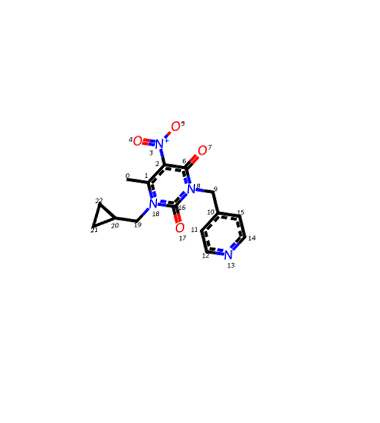 Cc1c([N+](=O)[O-])c(=O)n(Cc2ccncc2)c(=O)n1CC1CC1